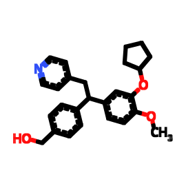 COc1ccc(C(Cc2ccncc2)c2ccc(CO)cc2)cc1OC1CCCC1